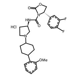 COc1ccccc1C1CCC(N2CC[C@@H](NC(=O)N3C(=O)OC[C@@H]3c3ccc(F)c(F)c3)C2)CC1.Cl